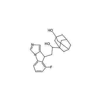 OC(CC1c2c(F)cccc2-n2cncc21)C12CC3CC(CC(O)(C3)C1)C2